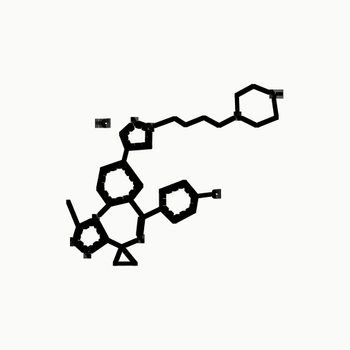 Cc1nnc2n1-c1ccc(-c3cnn(CCCCN4CCNCC4)c3)cc1C(c1ccc(Cl)cc1)=NC21CC1.Cl